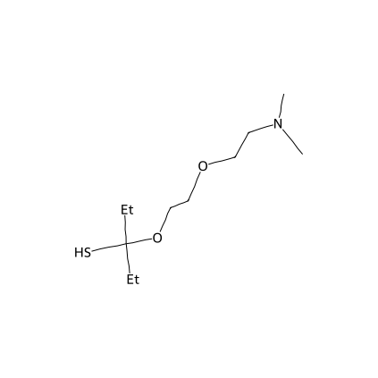 CCC(S)(CC)OCCOCCN(C)C